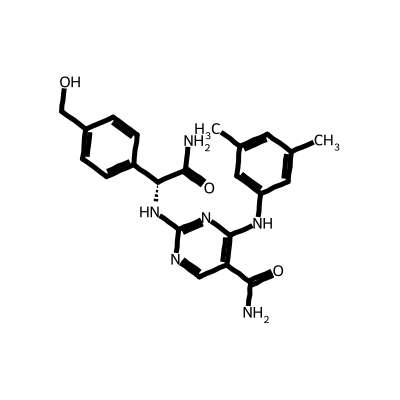 Cc1cc(C)cc(Nc2nc(N[C@@H](C(N)=O)c3ccc(CO)cc3)ncc2C(N)=O)c1